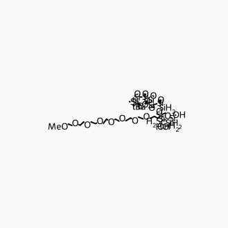 COCCOCCOCCOCCOCCOCCOCCOCCC[Si](C)(O[SiH2][Si](=O)[Si](=O)[Si](=O)[Si](=O)[Si](=O)[Si](=O)[Si](=O)[Si](C)(C)C(C)(C)C)[Si](O[SiH2]O)([SiH2]O)[SiH2]O